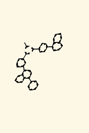 Clc1nc(-c2ccc(-c3cccc4ccccc34)cc2)nc(-c2cccc(-c3ccc(-c4ccccc4)c4ccccc34)c2)n1